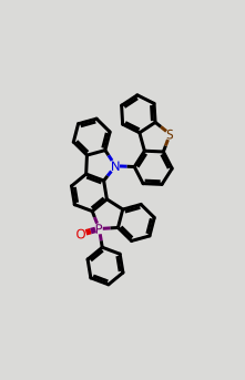 O=P1(c2ccccc2)c2ccccc2-c2c1ccc1c3ccccc3n(-c3cccc4sc5ccccc5c34)c21